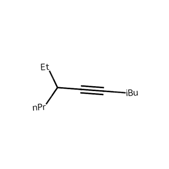 [CH2]CC(C#CC(C)CC)CCC